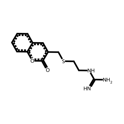 N=C(N)NCCSCc1cc2ccccc2oc1=O